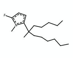 CCCCCCC(C)(CCCCC)c1ccc(F)n1C